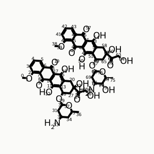 COc1cccc2c1C(=O)c1c(O)c3c(c(O)c1C2=O)CC(O)(C(=O)CO)CC3OC1CC(N)CC(C)O1.COc1cccc2c1C(=O)c1c(O)c3c(c(O)c1C2=O)C[C@@](O)(C(=O)CO)C[C@@H]3O[C@H]1C[C@H](N)[C@@H](O)[C@H](C)O1